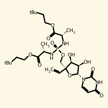 C=C[C@]1(COP(=O)(N[C@@H](C)C(=O)OCCC(C)(C)C)N[C@@H](C)C(=O)OCCC(C)(C)C)O[C@@H](n2ccc(=O)[nH]c2=O)[C@H](O)[C@@H]1O